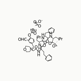 CC(C)CC(NC(=O)C(CCc1ccccc1)NC(=O)C[N+]1(Cc2ccc(OC(=O)C(C)(C)C)c(C=O)c2)CCOCC1)C(=O)NC(Cc1ccccc1)C(=O)NC(CC(C)C)C(=O)[C@@]1(C)CO1.CS(=O)(=O)[O-]